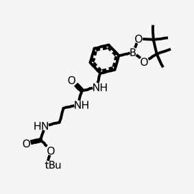 CC(C)(C)OC(=O)NCCNC(=O)Nc1cccc(B2OC(C)(C)C(C)(C)O2)c1